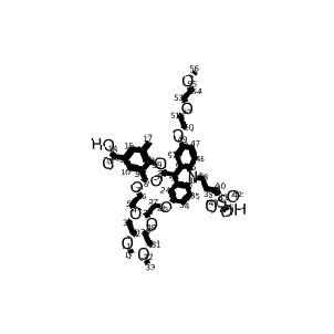 COCCOCCOCc1cc(C(=O)O)cc(C)c1OC(=O)c1c2cc(OCCOCCOC)ccc2[n+](CCCS(=O)(=O)O)c2ccc(OCCOCCOC)cc12